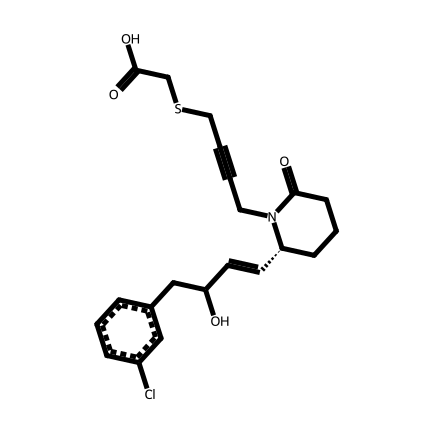 O=C(O)CSCC#CCN1C(=O)CCC[C@@H]1/C=C/C(O)Cc1cccc(Cl)c1